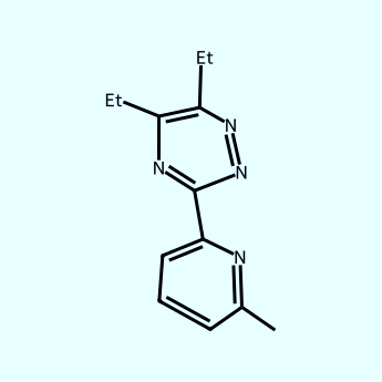 CCc1nnc(-c2cccc(C)n2)nc1CC